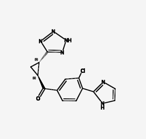 O=C(c1ccc(-c2ncc[nH]2)c(Cl)c1)[C@H]1C[C@@H]1c1nn[nH]n1